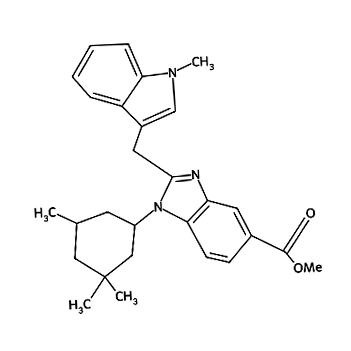 COC(=O)c1ccc2c(c1)nc(Cc1cn(C)c3ccccc13)n2C1CC(C)CC(C)(C)C1